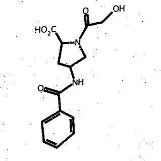 O=C(NC1CC(C(=O)O)N(C(=O)CO)C1)c1ccccc1